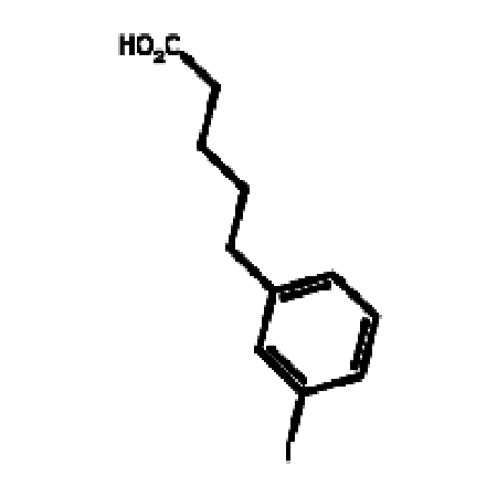 O=C(O)CCCCc1cccc(I)c1